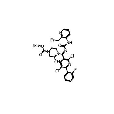 CC(C)Cc1ncccc1NC(=O)N=C(c1cc(Cl)c(-c2ccccc2F)nc1Cl)N1CCN(C(=O)OC(C)(C)C)C[C@@H]1C